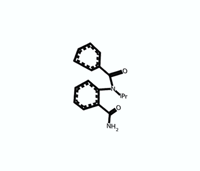 CC(C)N(C(=O)c1ccccc1)c1ccccc1C(N)=O